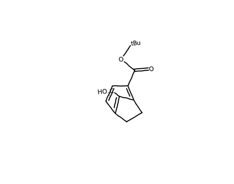 CC(C)(C)OC(=O)c1ccc2c(C(=O)O)c1CC2